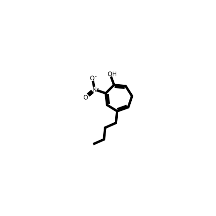 CCCCC1=CCC=C(O)C([N+](=O)[O-])=C1